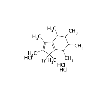 CC1=C(C)[C](C)([Ti])C2=C1C(C)C(C)C(C)C2C.Cl.Cl.Cl